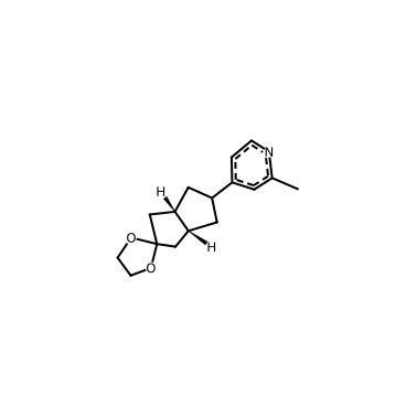 Cc1cc(C2C[C@@H]3CC4(C[C@@H]3C2)OCCO4)ccn1